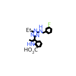 CCc1nc(NCc2cccc(F)c2)nc(-c2c(C)[nH]c3c(C(=O)O)cccc23)n1